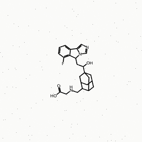 O=C(O)CNCC1C2CC3CC1CC(C(O)CC1c4c(F)cccc4-c4cncn41)(C3)C2